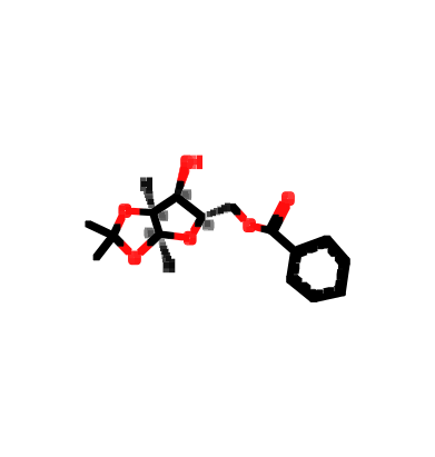 CC1(C)O[C@@H]2O[C@@H](COC(=O)c3ccccc3)[C@H](O)[C@@H]2O1